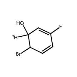 [2H]C1(O)C=C(F)C=CC1Br